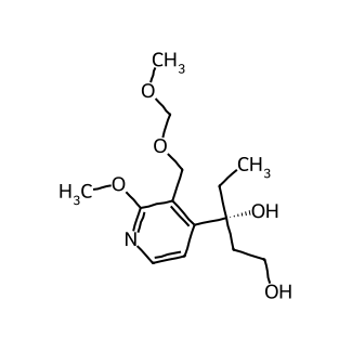 CC[C@@](O)(CCO)c1ccnc(OC)c1COCOC